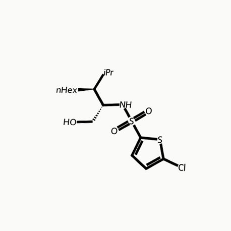 CCCCCC[C@@H](C(C)C)[C@@H](CO)NS(=O)(=O)c1ccc(Cl)s1